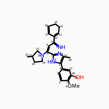 COc1ccc(-c2[nH]c(/C(=C\C(=N)C3=CCCC=C3)N3CCC(C)C3)nc2C)cc1O